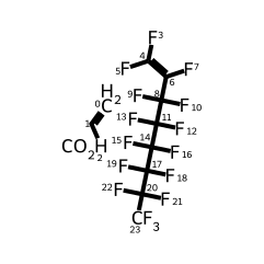 C=CC(=O)O.FC(F)=C(F)C(F)(F)C(F)(F)C(F)(F)C(F)(F)C(F)(F)C(F)(F)F